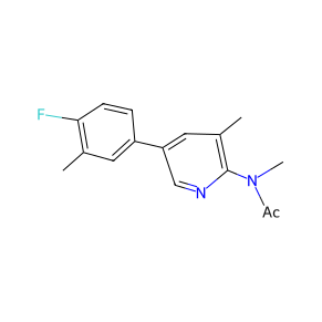 CC(=O)N(C)c1ncc(-c2ccc(F)c(C)c2)cc1C